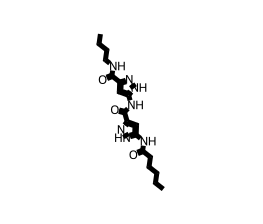 CCCCCC(=O)Nc1cc(C(=O)Nc2cc(C(=O)NCCCC)n[nH]2)n[nH]1